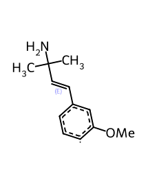 COc1[c]ccc(/C=C/C(C)(C)N)c1